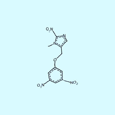 Cn1c(COc2cc([N+](=O)[O-])cc([N+](=O)[O-])c2)cnc1[N+](=O)[O-]